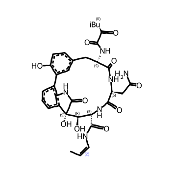 C/C=C\NC(=O)[C@H]1NC(=O)[C@H](CC(N)=O)NC(=O)[C@@H](NC(=O)C(=O)[C@H](C)CC)Cc2ccc(O)c(c2)-c2cccc3c2NC(=O)[C@@]3(O)[C@@H]1O